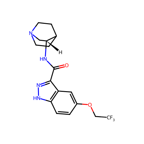 O=C(N[C@@H]1CN2CCC1CC2)c1n[nH]c2ccc(OCC(F)(F)F)cc12